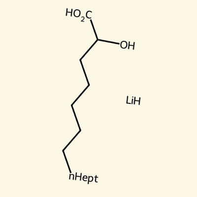 CCCCCCCCCCCCC(O)C(=O)O.[LiH]